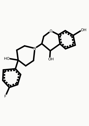 Oc1ccc2c(c1)OCC(N1CCC(O)(c3ccc(F)cc3)CC1)C2O